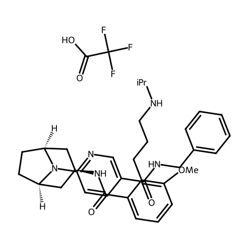 COc1cccc(C(=O)N[C@H]2C[C@H]3CC[C@@H](C2)N3c2ccc(C(=O)NCc3ccccc3)cn2)c1CCCNC(C)C.O=C(O)C(F)(F)F